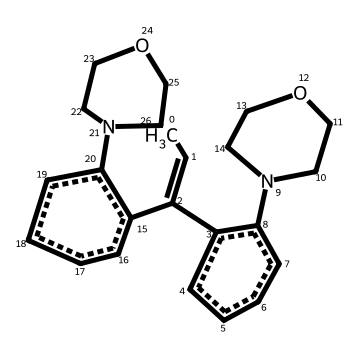 CC=C(c1ccccc1N1CCOCC1)c1ccccc1N1CCOCC1